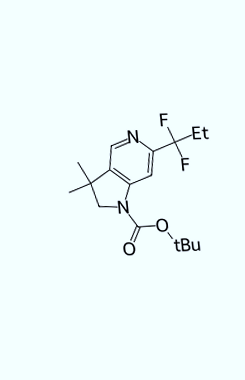 CCC(F)(F)c1cc2c(cn1)C(C)(C)CN2C(=O)OC(C)(C)C